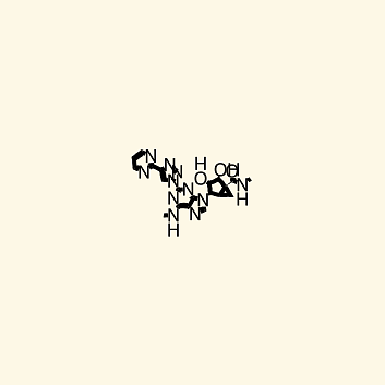 CNC(=O)[C@]12CC1[C@@H](n1cnc3c(NC)nc(-n4cc(-c5ncccn5)nn4)nc31)C(O)[C@@H]2O